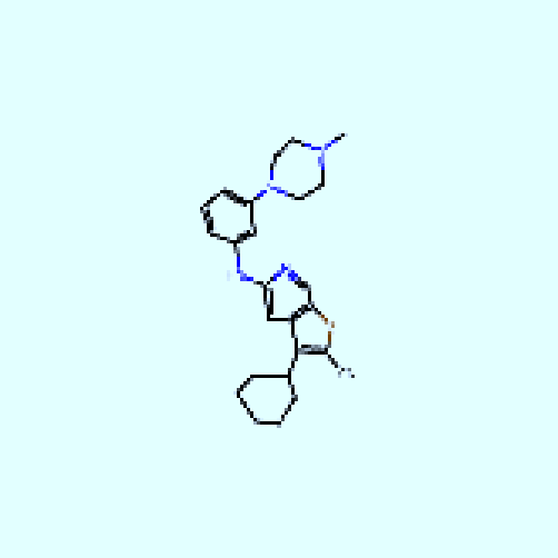 CN1CCN(c2cccc(Nc3cc4c(C5CCCCC5)c(C#N)sc4cn3)c2)CC1